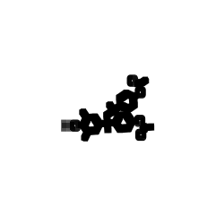 CC(=O)Oc1ccc(C(C)(C)CC(C)(c2ccc(OC(C)=O)cc2)c2cc(C)c(O)c(C)c2)cc1